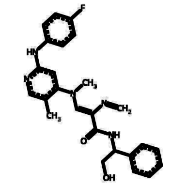 C=N/C(=C\N(C)c1cc(Nc2ccc(F)cc2)ncc1C)C(=O)NC(CO)c1ccccc1